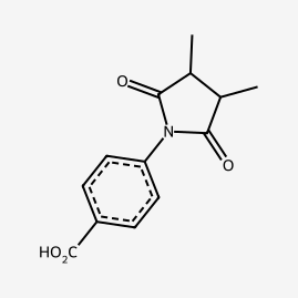 CC1C(=O)N(c2ccc(C(=O)O)cc2)C(=O)C1C